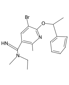 CCN(C)C(=N)c1cc(Br)c(OC(C)c2ccccc2)nc1C